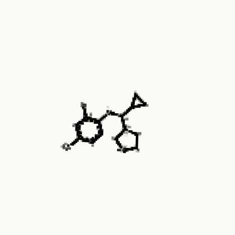 Cc1ccc(O[C@@H](C2CC2)[C@H]2CCNC2)c(Br)c1